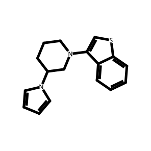 c1ccc2c(N3CCCC(n4cccc4)C3)csc2c1